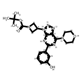 CC(C)(C)OC(=O)N1CC(n2nnc3c(N4CCOCC4)nc(-c4cccc(O)c4)nc32)C1